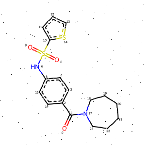 O=C(c1ccc(NS(=O)(=O)c2cccs2)cc1)N1CCCCCC1